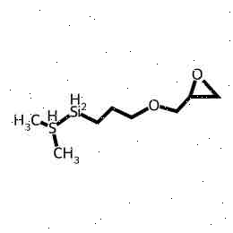 C[SH](C)[SiH2]CCCOCC1CO1